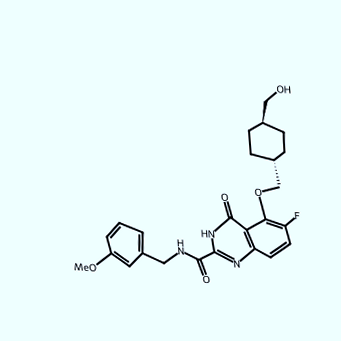 COc1cccc(CNC(=O)c2nc3ccc(F)c(OC[C@H]4CC[C@H](CO)CC4)c3c(=O)[nH]2)c1